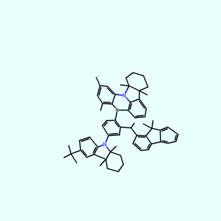 Cc1cc(C)c2c(c1)N1c3c(cccc3C3(C)CCCCC13C)B2c1ccc(N2c3ccc(C(C)(C)C)cc3C3(C)CCCCC23C)cc1C(C)c1cccc2c1C(C)(C)c1ccccc1-2